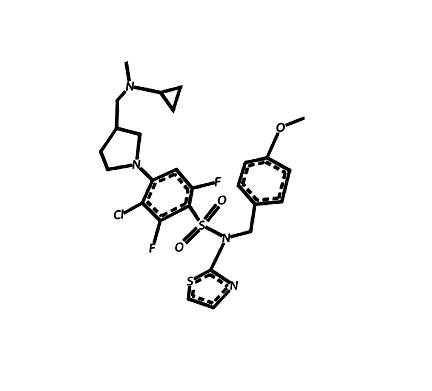 COc1ccc(CN(c2nccs2)S(=O)(=O)c2c(F)cc(N3CCC(CN(C)C4CC4)C3)c(Cl)c2F)cc1